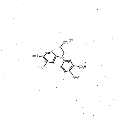 NCCN(c1ccc(C(=O)O)c(C(=O)O)c1)c1ccc(C(=O)O)c(C(=O)O)c1.[HH]